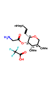 CCCCCCCC=C[C@@H]1OC[C@@H](OC)[C@H](OC)[C@@H]1OC(=O)CN.O=C(O)C(F)(F)F